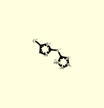 Clc1cnc(Sc2nnn[nH]2)s1